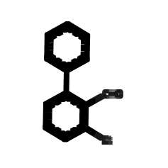 CCc1cccc(-c2ccccc2)c1C=O